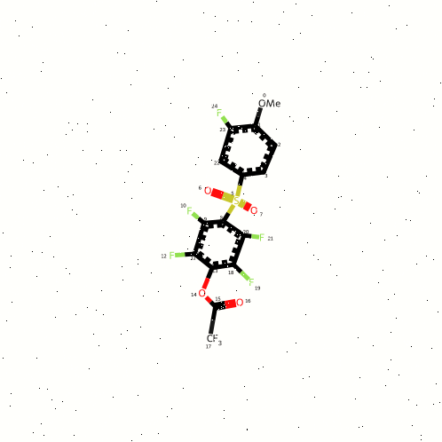 COc1ccc(S(=O)(=O)c2c(F)c(F)c(OC(=O)C(F)(F)F)c(F)c2F)cc1F